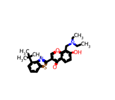 CCN(CC)Cc1c(O)ccc2c(=O)c(-c3nc4c(C(C)(C)C)cccc4s3)coc12